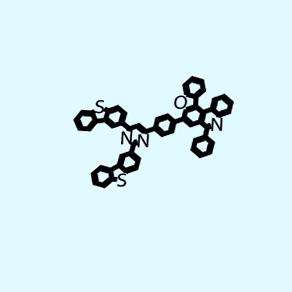 c1ccc(-c2nc3ccccc3c3c2cc(-c2ccc(-c4cc(-c5ccc6sc7ccccc7c6c5)nc(-c5ccc6sc7ccccc7c6c5)n4)cc2)c2oc4ccccc4c23)cc1